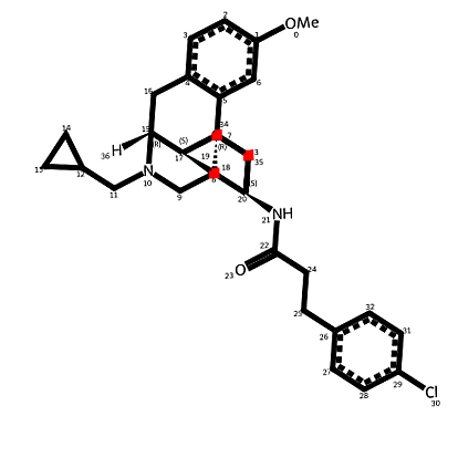 COc1ccc2c(c1)[C@]13CCN(CC4CC4)[C@H](C2)[C@]12CC[C@@](NC(=O)CCc1ccc(Cl)cc1)(CO2)C3